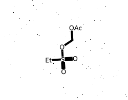 CCS(=O)(=O)OCOC(C)=O